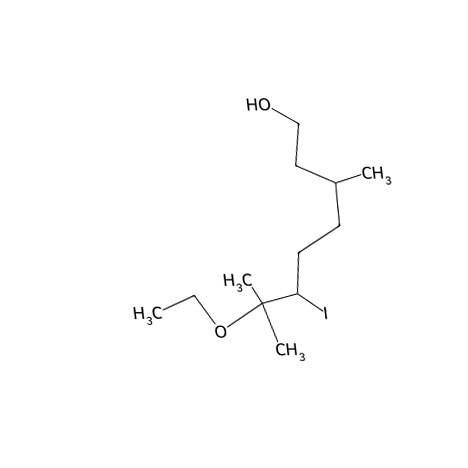 CCOC(C)(C)C(I)CCC(C)CCO